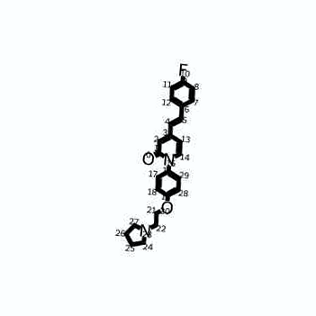 O=c1cc(C=Cc2ccc(F)cc2)ccn1-c1ccc(OCCN2CCCC2)cc1